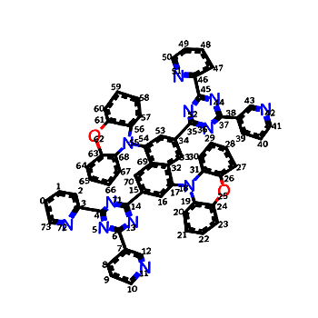 c1ccc(-c2nc(-c3cccnc3)nc(-c3cc(N4c5ccccc5Oc5ccccc54)c4cc(-c5nc(-c6cccnc6)nc(-c6ccccn6)n5)cc(N5c6ccccc6Oc6ccccc65)c4c3)n2)nc1